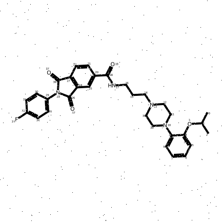 CC(C)Oc1ccccc1N1CCN(CCCNC(=O)c2ccc3c(c2)C(=O)N(c2ccc(F)cc2)C3=O)CC1